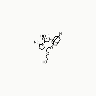 N#CC1CCCN1C(=O)CN(C(=O)O)C12CC3C[C@H](CC(OCCOCCO)(C3)C1)C2